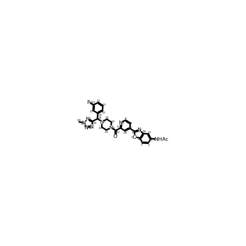 CC(=O)Nc1ccc2oc(-c3ccnc(C(=O)N4CCN(C(c5cccc(F)c5)c5nnn(C)n5)CC4)c3)nc2c1